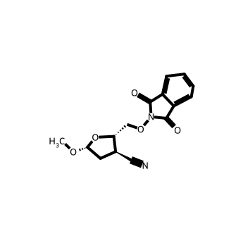 CO[C@H]1C[C@H](C#N)[C@@H](CON2C(=O)c3ccccc3C2=O)O1